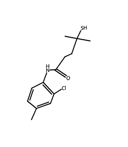 Cc1ccc(NC(=O)CCC(C)(C)S)c(Cl)c1